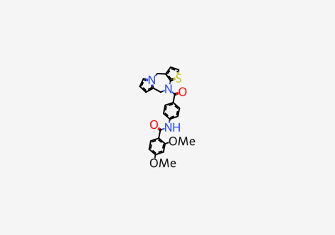 COc1ccc(C(=O)Nc2ccc(C(=O)N3Cc4cccn4Cc4ccsc43)cc2)c(OC)c1